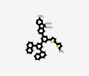 CCCCCCCCC1(CCCCCCCC)c2cc(C)ccc2-c2ccc(-c3cc(-c4cc(-c5cccc6ccccc56)cc(-c5cccc6ccccc56)c4)cc(-c4ccc(-c5ccc(C)s5)s4)c3)cc21